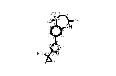 O=C1CCS(=O)(=O)c2ccc(-c3nnc(C4(C(F)(F)F)CC4)o3)cc2N1